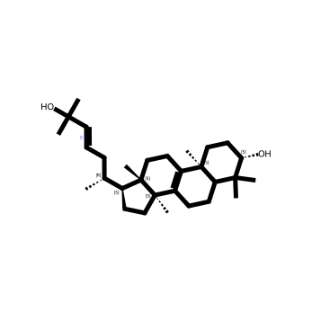 C[C@H](C/C=C/C(C)(C)O)[C@@H]1CC[C@]2(C)C3=C(CC[C@@]12C)[C@@]1(C)CC[C@H](O)C(C)(C)C1CC3